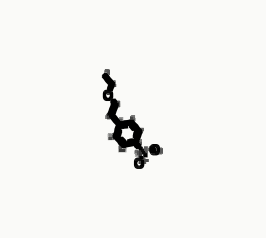 CCOC=Cc1ccc([N+](=O)[O-])cc1